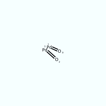 [O]=[Pd].[O]=[Pd]